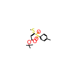 CS/C(=C/C(=O)OC(C)(C)C)S(=O)(=O)c1ccc(C)cc1